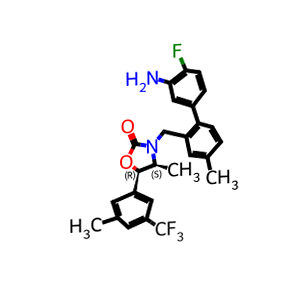 Cc1cc([C@H]2OC(=O)N(Cc3cc(C)ccc3-c3ccc(F)c(N)c3)[C@H]2C)cc(C(F)(F)F)c1